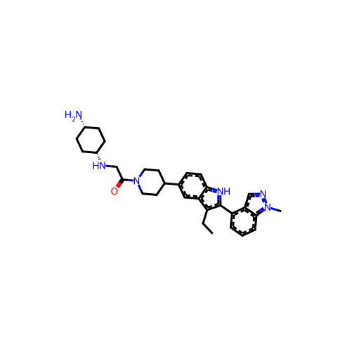 CCc1c(-c2cccc3c2cnn3C)[nH]c2ccc(C3CCN(C(=O)CN[C@H]4CC[C@@H](N)CC4)CC3)cc12